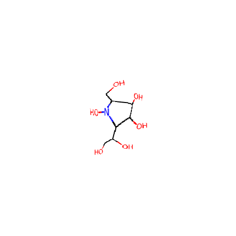 OCC(O)C1C(O)C(O)C(CO)N1O